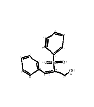 O=S(=O)(/C(=C\c1ccccc1)CO)c1ccccc1